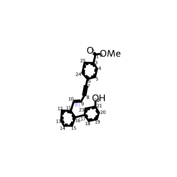 COC(=O)c1ccc(C#C/C=C/c2ccccc2-c2cccc(O)c2)cc1